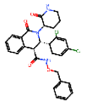 O=C1NCCC[C@H]1N1C(=O)c2ccccc2[C@H](C(=O)NOCc2ccccc2)[C@H]1C1CC=C(Cl)C=C1Cl